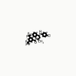 C[C@H]1C[C@@H](Nc2ccc(Cl)cc2)c2ccccc2N1C(=O)c1cc(C(F)(F)F)cc(C(F)(F)F)c1